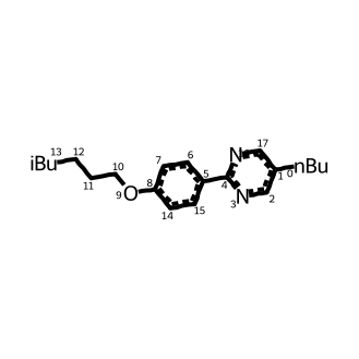 CCCCc1cnc(-c2ccc(OCCCC(C)CC)cc2)nc1